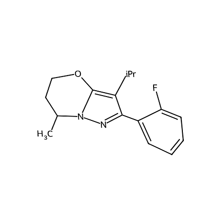 CC(C)c1c(-c2ccccc2F)nn2c1OCCC2C